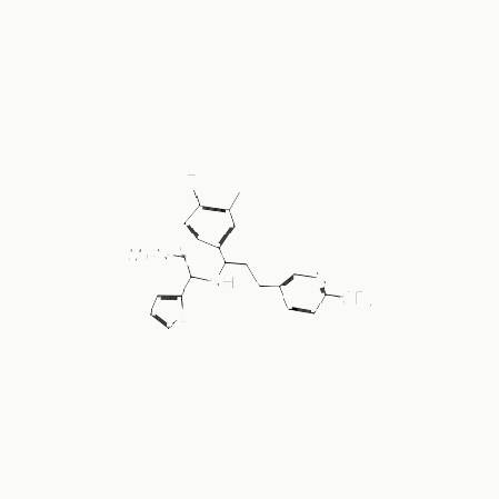 CNC(=O)C(NC(CCc1ccc(C(F)(F)F)nc1)c1ccc(F)c(C)c1)c1cccs1